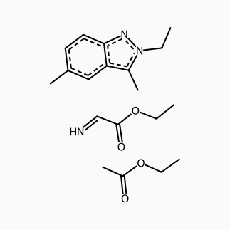 CCOC(=O)C=N.CCOC(C)=O.CCn1nc2ccc(C)cc2c1C